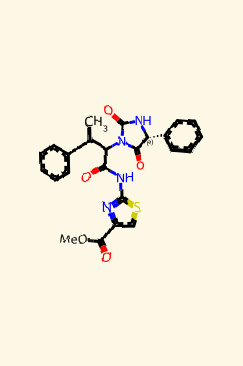 COC(=O)c1csc(NC(=O)C(C(C)c2ccccc2)N2C(=O)N[C@H](c3ccccc3)C2=O)n1